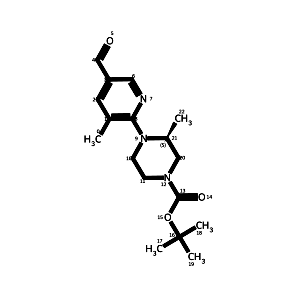 Cc1cc(C=O)cnc1N1CCN(C(=O)OC(C)(C)C)C[C@@H]1C